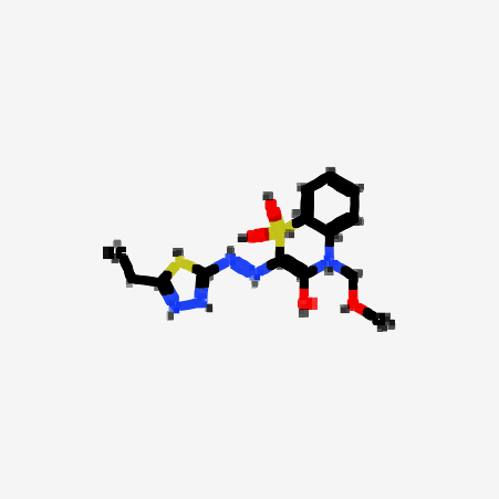 CCc1nnc(N=NC2=C(O)N(COC)c3ccccc3S2(=O)=O)s1